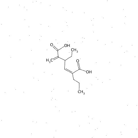 C=C(C(=O)O)C(C=C(CCC)C(=O)O)CC